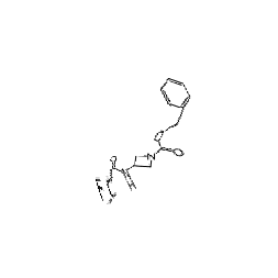 O=C(OCc1ccccc1)N1CC(NC(=O)C(F)(F)F)C1